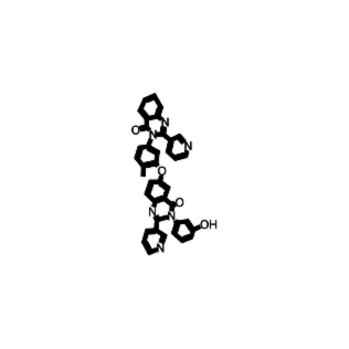 Cc1ccc(-n2c(-c3cccnc3)nc3ccccc3c2=O)cc1Oc1ccc2nc(-c3cccnc3)n(-c3cccc(O)c3)c(=O)c2c1